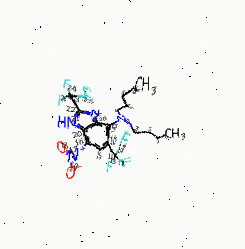 CCCCN(CCCC)c1c(C(F)(F)F)cc([N+](=O)[O-])c2[nH]c(C(F)(F)F)nc12